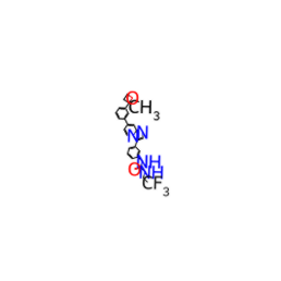 CC1(c2cccc(-c3ccn4c(-c5cccc(NC(=O)NCC(F)(F)F)c5)cnc4c3)c2)CCO1